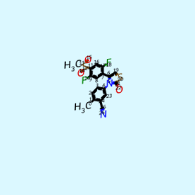 Cc1ccc(-n2c(-c3cc(F)c(S(C)(=O)=O)cc3F)csc2=O)cc1C#N